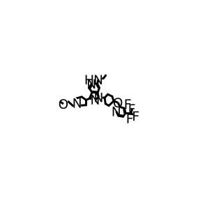 CCNc1cc2c(cn1)c(C1CCN(CCOC)CC1)nn2C1CCC(Oc2nccc(C(F)(F)F)c2F)CC1